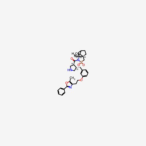 Cc1oc(-c2ccccc2)nc1CCOc1cccc(C[C@@H]2CNC[C@H]2C(=O)N2[C@@H]3CC4CC[C@]3(CS2(=O)=O)C4(C)C)c1